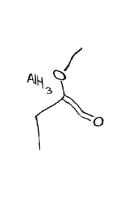 CCC(=O)OC.[AlH3]